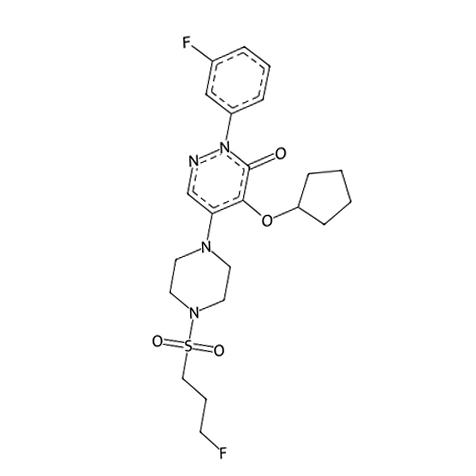 O=c1c(OC2CCCC2)c(N2CCN(S(=O)(=O)CCCF)CC2)cnn1-c1cccc(F)c1